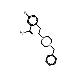 NC(=O)c1cc(F)ccc1CCN1CCN(Cc2ccccc2)CC1